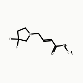 CNC(=O)/C=C/CN1CCC(F)(F)C1